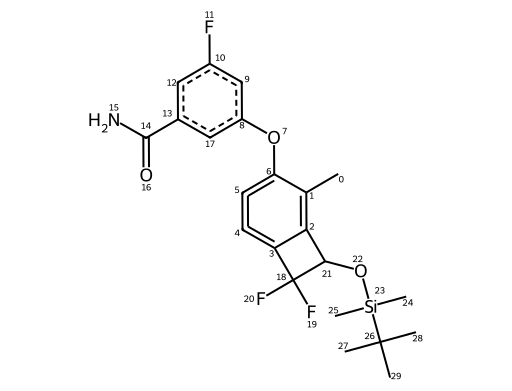 CC1=C2C(=C=C=C1Oc1cc(F)cc(C(N)=O)c1)C(F)(F)C2O[Si](C)(C)C(C)(C)C